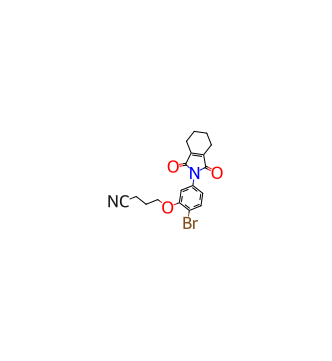 N#CCCCOc1cc(N2C(=O)C3=C(CCCC3)C2=O)ccc1Br